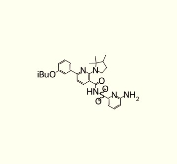 CC(C)COc1cccc(-c2ccc(C(=O)NS(=O)(=O)c3cccc(N)n3)c(N3CCC(C)C3(C)C)n2)c1